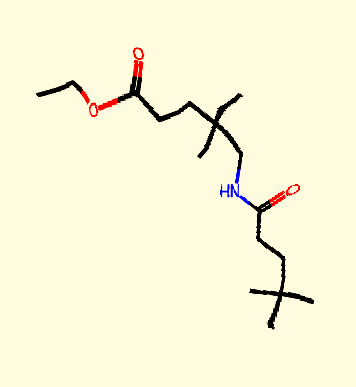 CCOC(=O)CCC(C)(C)CNC(=O)CCC(C)(C)C